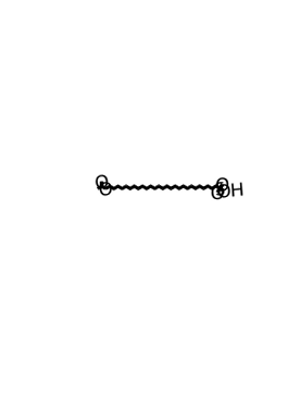 CC(=O)OCCCCCCCCCCCCCCCCCCCCCCCCCCCS(=O)(=O)O